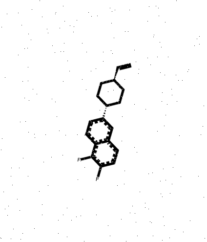 C=C[C@H]1CC[C@H](c2ccc3c(F)c(F)ccc3c2)CC1